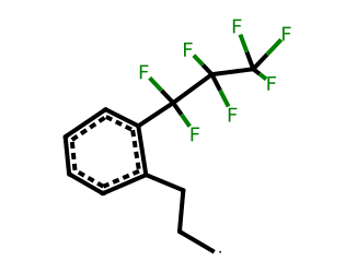 [CH2]CCc1ccccc1C(F)(F)C(F)(F)C(F)(F)F